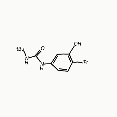 CC(C)c1ccc(NC(=O)NC(C)(C)C)cc1O